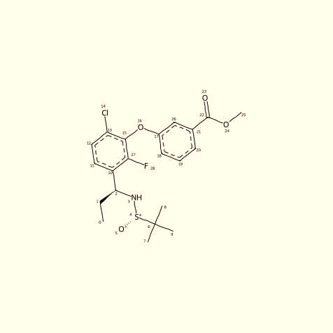 CC[C@H](N[S@@+]([O-])C(C)(C)C)c1ccc(Cl)c(Oc2cccc(C(=O)OC)c2)c1F